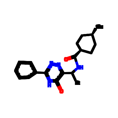 CCC(NC(=O)[C@H]1CC[C@@H](C(C)(C)C)CC1)c1nnc(-c2ccccc2)[nH]c1=O